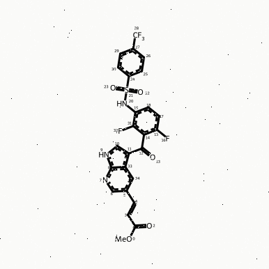 COC(=O)C=Cc1cnc2[nH]cc(C(=O)c3c(F)ccc(NS(=O)(=O)c4ccc(C(F)(F)F)cc4)c3F)c2c1